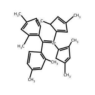 CC1=CC(C)[C]([Zr]([C]2=C(C)C=C(C)C2)=[C](c2ccc(C)cc2C)c2ccc(C)cc2C)=C1